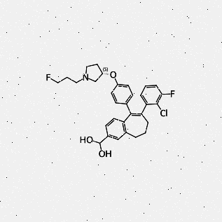 OC(O)c1ccc2c(c1)CCCC(c1cccc(F)c1Cl)=C2c1ccc(O[C@H]2CCN(CCCF)C2)cc1